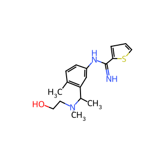 Cc1ccc(NC(=N)c2cccs2)cc1C(C)N(C)CCO